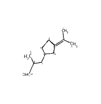 CC(C)=C1CCC(CC(C)C=O)C1